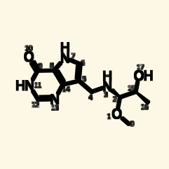 CO[C@@H](NCc1c[nH]c2c(=O)[nH]cnc12)[C@H](C)O